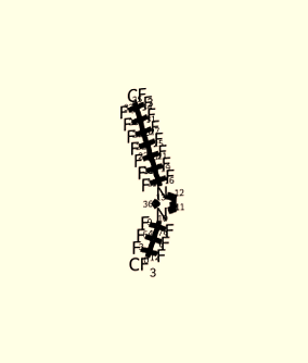 FC(F)(F)C(F)(F)C(F)(F)C(F)(F)[n+]1ccn(C(F)(F)C(F)(F)C(F)(F)C(F)(F)C(F)(F)C(F)(F)C(F)(F)C(F)(F)F)c1